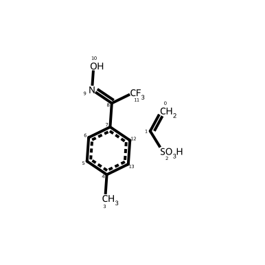 C=CS(=O)(=O)O.Cc1ccc(C(=NO)C(F)(F)F)cc1